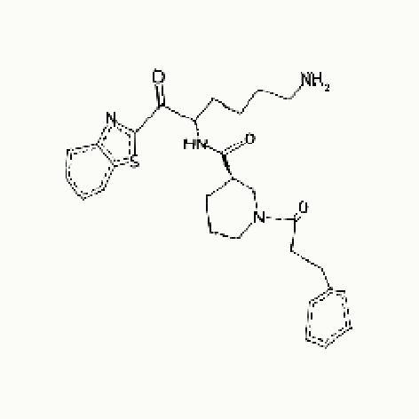 NCCCCC(NC(=O)[C@@H]1CCCN(C(=O)CCc2ccccc2)C1)C(=O)c1nc2ccccc2s1